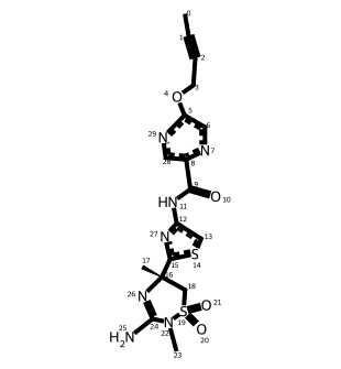 CC#CCOc1cnc(C(=O)Nc2csc([C@]3(C)CS(=O)(=O)N(C)C(N)=N3)n2)cn1